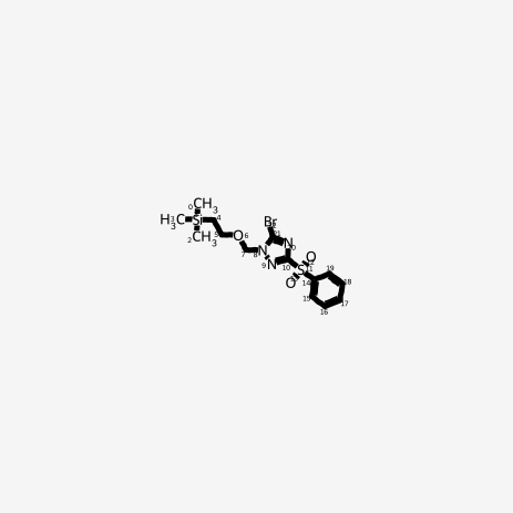 C[Si](C)(C)CCOCn1nc(S(=O)(=O)c2ccccc2)nc1Br